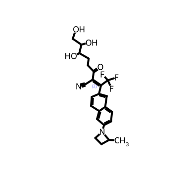 CC1CCN1c1ccc2cc(/C(=C(\C#N)C(=O)CCC(O)C(O)CO)C(F)(F)F)ccc2c1